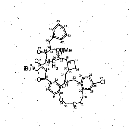 CC[C@H](C)CS(=O)(=NC(=O)c1ccc2c(c1)N(C[C@@H]1CC[C@H]1[C@H](C)OC)Cc1ccc(Cl)cc1CCCCO2)NC(=O)[C@@H](O)Cc1ccccc1